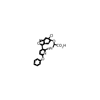 CCCc1nc(Oc2ccccc2)ccc1-c1onc2cc(Cl)c(OC(C)C(=O)O)cc12